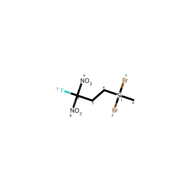 C[Si](Br)(Br)CCC(F)([N+](=O)[O-])[N+](=O)[O-]